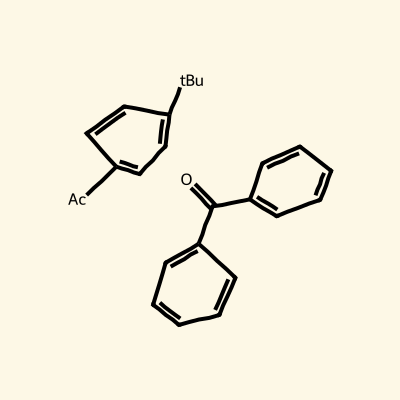 CC(=O)c1ccc(C(C)(C)C)cc1.O=C(c1ccccc1)c1ccccc1